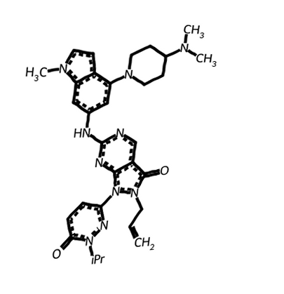 C=CCn1c(=O)c2cnc(Nc3cc(N4CCC(N(C)C)CC4)c4ccn(C)c4c3)nc2n1-c1ccc(=O)n(C(C)C)n1